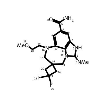 CNC1Nc2cc(C(N)=O)cc3c2N1CC1(CN3CCOC)CC(F)(F)C1